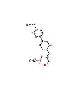 CCCCCc1ccc(C2CCC(CC(CO)COC=O)CC2)cc1